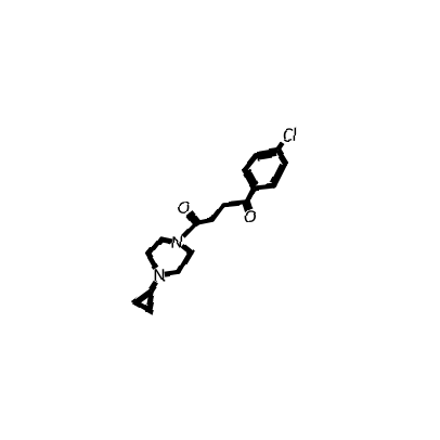 O=C(CCC(=O)N1CCN(C2CC2)CC1)c1ccc(Cl)cc1